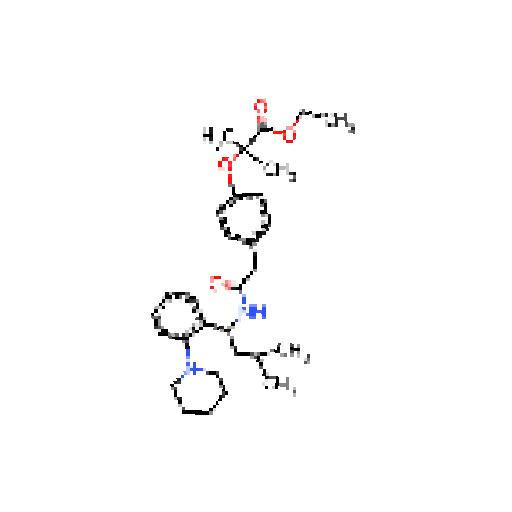 CCOC(=O)C(C)(C)Oc1ccc(CC(=O)NC(CC(C)C)c2ccccc2N2CCCCC2)cc1